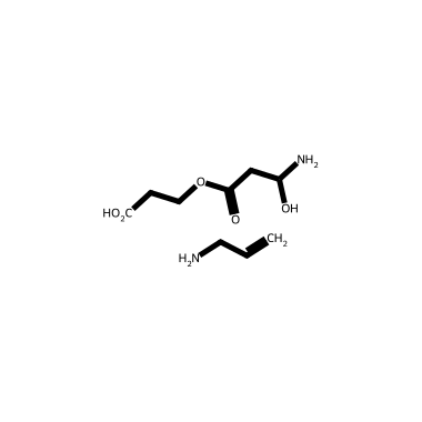 C=CCN.NC(O)CC(=O)OCCC(=O)O